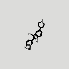 CC(C)c1c(-c2ccc3nncn3c2)[nH]c2ccc(C3CCNCC3)cc12